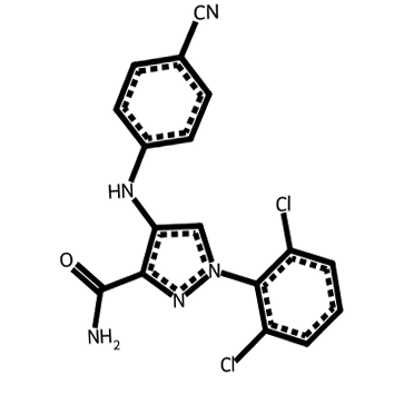 N#Cc1ccc(Nc2cn(-c3c(Cl)cccc3Cl)nc2C(N)=O)cc1